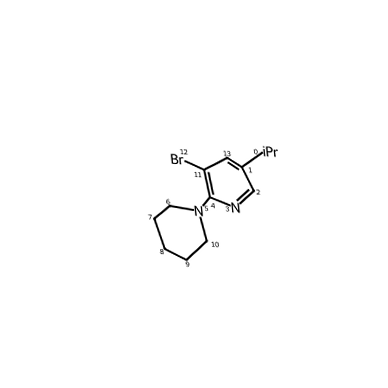 CC(C)c1cnc(N2CCCCC2)c(Br)c1